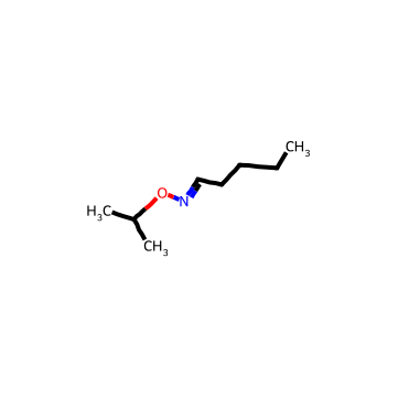 CCCCC=NOC(C)C